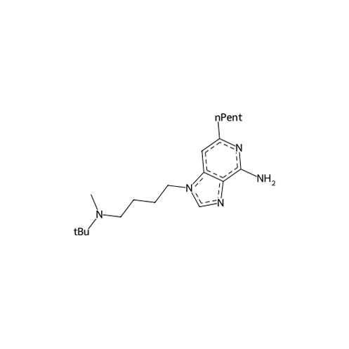 CCCCCc1cc2c(ncn2CCCCN(C)C(C)(C)C)c(N)n1